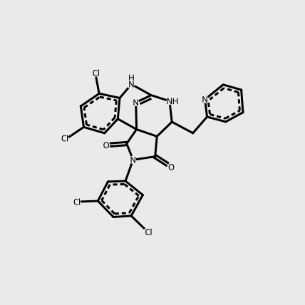 O=C1C2C(Cc3ccccn3)NC3=NC2(C(=O)N1c1cc(Cl)cc(Cl)c1)c1cc(Cl)cc(Cl)c1N3